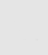 COC1CC2=C(C(=O)CCCC2)C(=O)C1OC